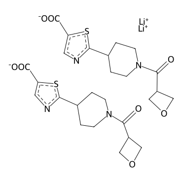 O=C([O-])c1cnc(C2CCN(C(=O)C3COC3)CC2)s1.O=C([O-])c1cnc(C2CCN(C(=O)C3COC3)CC2)s1.[Li+].[Li+]